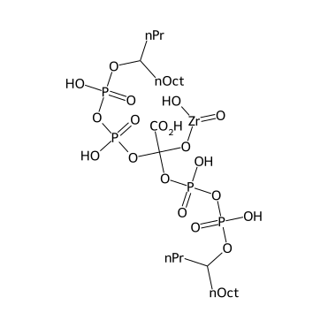 CCCCCCCCC(CCC)OP(=O)(O)OP(=O)(O)OC([O][Zr](=[O])[OH])(OP(=O)(O)OP(=O)(O)OC(CCC)CCCCCCCC)C(=O)O